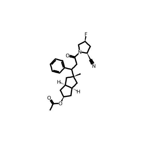 CC(=O)O[C@@H]1C[C@@H]2C[C@@](C)(C(CC(=O)N3C[C@@H](F)C[C@H]3C#N)c3ccccc3)C[C@@H]2C1